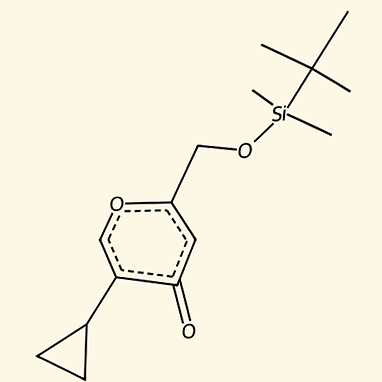 CC(C)(C)[Si](C)(C)OCc1cc(=O)c(C2CC2)co1